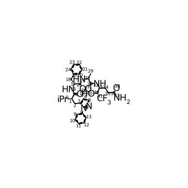 CC(C)[C@H](Cc1ccnn1-c1ccccc1)C(=O)N[C@@H](Cc1ccccc1)C(=O)N[C@@H](C)C(=O)NC(CCC(N)=O)C(O)C(F)(F)F